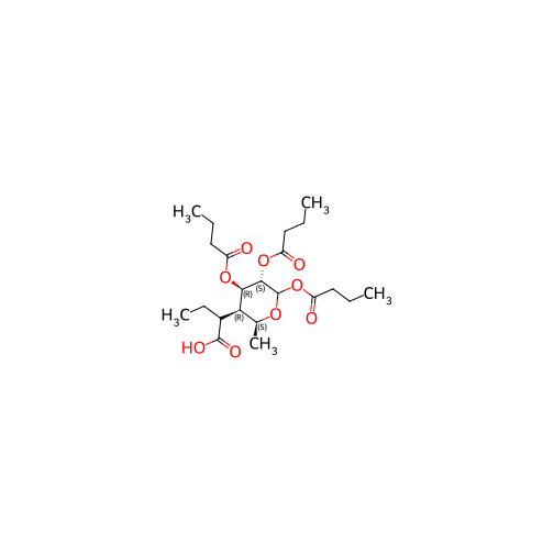 CCCC(=O)OC1O[C@@H](C)[C@@H](C(CC)C(=O)O)[C@@H](OC(=O)CCC)[C@@H]1OC(=O)CCC